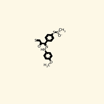 COc1ccc(NN=C(C(=O)C=S)c2ccc(S[S+](C)[O-])cc2)cc1